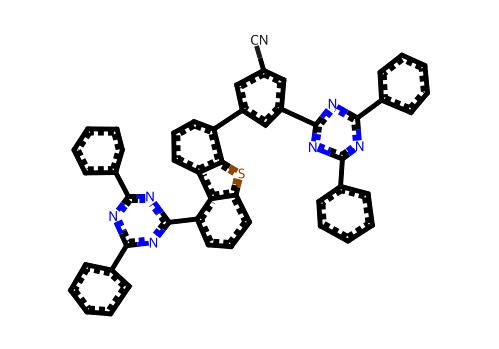 N#Cc1cc(-c2nc(-c3ccccc3)nc(-c3ccccc3)n2)cc(-c2cccc3c2sc2cccc(-c4nc(-c5ccccc5)nc(-c5ccccc5)n4)c23)c1